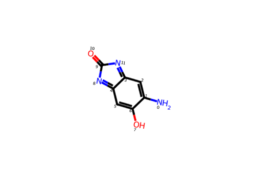 Nc1cc2c(cc1O)=NC(=O)N=2